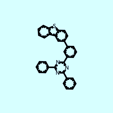 c1ccc(-c2nc(-c3ccccc3)nc(-c3cccc(-c4ccc5sc6ccccc6c5c4)c3)n2)cc1